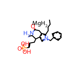 CCCCc1c(CC(N)=O)c(C(CC)CC=CP(=O)(O)O)cn1Cc1ccccc1.[MgH2]